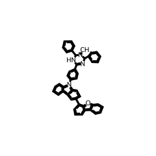 CN1C(c2ccccc2)N=C(c2ccc(-n3c4ccccc4c4cc(-c5cccc6c5oc5ccccc56)ccc43)cc2)NC1c1ccccc1